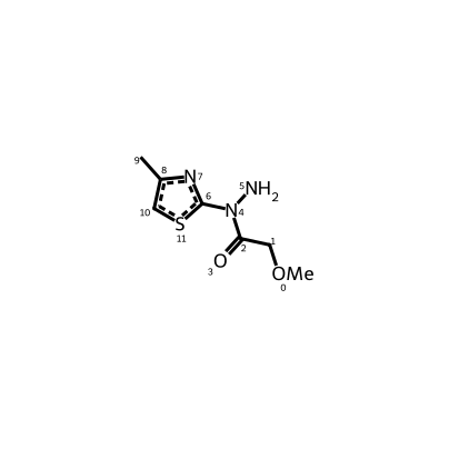 COCC(=O)N(N)c1nc(C)cs1